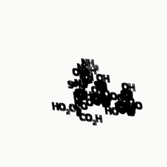 Nc1nc(=O)c2nc(CN(N=C=S)c3ccc(C(=O)N[C@@H](CCC(=O)O)C(=O)O)cc3)cnc2[nH]1.O=C1OC2(c3ccc(O)cc3Oc3cc(O)ccc32)c2ccccc21.O=C1OC2(c3ccc(O)cc3Oc3cc(O)ccc32)c2ccccc21